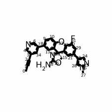 CC#Cc1cncc(-c2ccc3c(c2)[C@@]2(COC(N)=N2)c2cc(-c4cnn(C)c4)cc(F)c2O3)c1